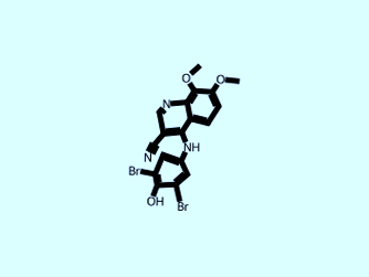 COc1ccc2c(Nc3cc(Br)c(O)c(Br)c3)c(C#N)cnc2c1OC